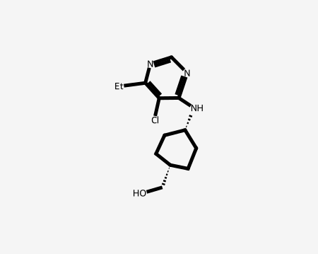 CCc1ncnc(N[C@H]2CC[C@@H](CO)CC2)c1Cl